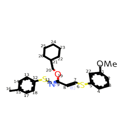 COc1cccc(S/C=C/C(=N/Sc2ccc(C)cc2)OCC2CCCCC2)c1